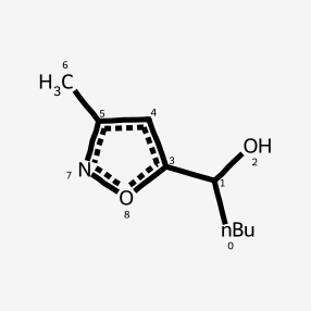 CCCCC(O)c1cc(C)no1